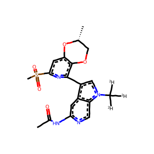 [2H]C([2H])([2H])n1cc(-c2nc(S(C)(=O)=O)cc3c2OC[C@@H](C)O3)c2cc(NC(C)=O)ncc21